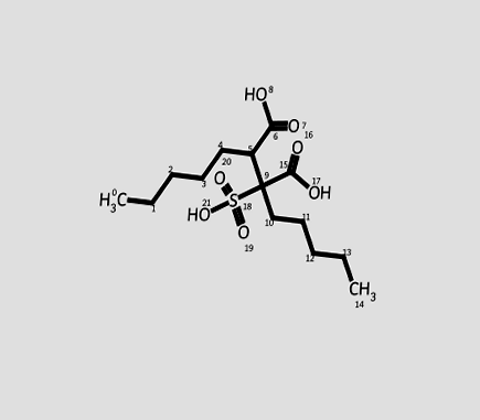 CCCCCC(C(=O)O)C(CCCCC)(C(=O)O)S(=O)(=O)O